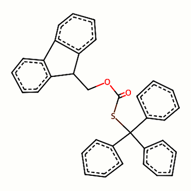 O=C(OCC1c2ccccc2-c2ccccc21)SC(c1ccccc1)(c1ccccc1)c1ccccc1